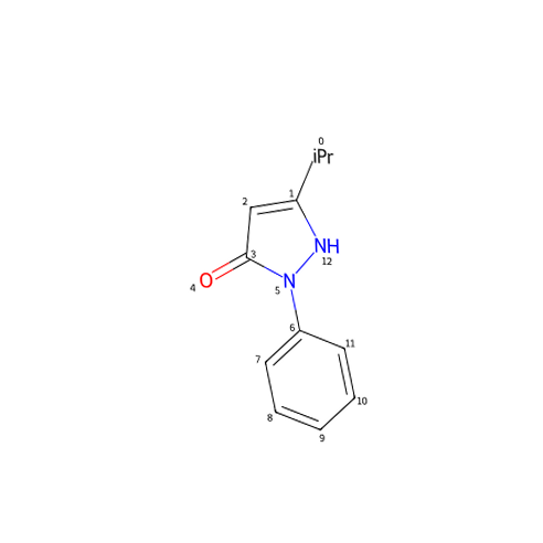 CC(C)c1cc(=O)n(-c2ccccc2)[nH]1